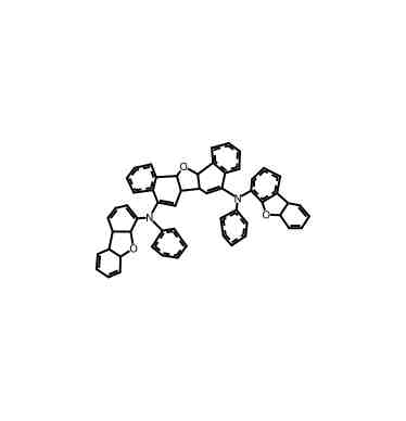 C1=CC2Oc3c(cccc3N(C3=CC4C(OC5c6ccccc6C(N(C6=CC=CC7C6OC6C=CC=CC67)c6ccccc6)=CC54)c4ccccc43)c3ccccc3)C2C=C1